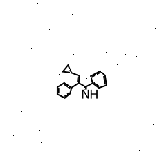 N=C(/C(=C/C1CC1)c1ccccc1)c1ccccc1